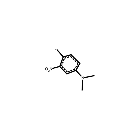 [CH2]c1ccc(N(C)C)cc1[N+](=O)[O-]